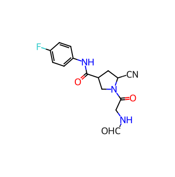 N#CC1CC(C(=O)Nc2ccc(F)cc2)CN1C(=O)CNC=O